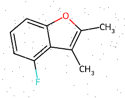 Cc1oc2cccc(F)c2c1C